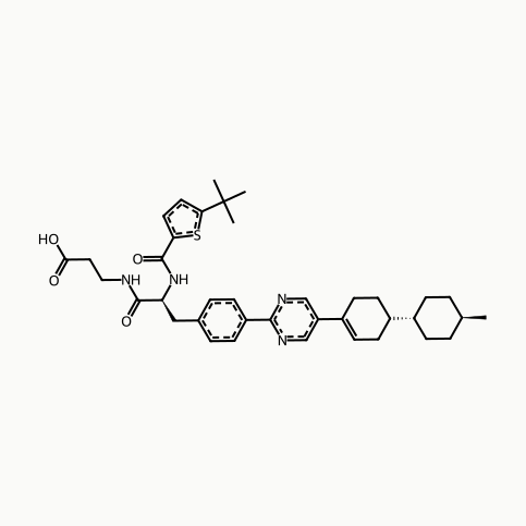 CC(C)(C)c1ccc(C(=O)N[C@@H](Cc2ccc(-c3ncc(C4=CCC([C@H]5CC[C@H](C)CC5)CC4)cn3)cc2)C(=O)NCCC(=O)O)s1